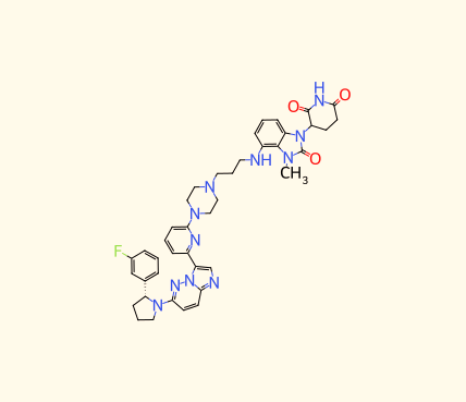 Cn1c(=O)n(C2CCC(=O)NC2=O)c2cccc(NCCCN3CCN(c4cccc(-c5cnc6ccc(N7CCC[C@@H]7c7cccc(F)c7)nn56)n4)CC3)c21